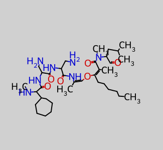 CCCCCC/C(O/C=C(/C)NC(=O)C(CN)NC(=O)C(CN)NC(=O)C(NC)C1CCCCCC1)=C(\C)C(=O)N(C)C(C=O)CC(C)C